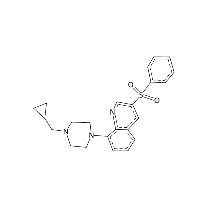 O=S(=O)(c1ccccc1)c1cnc2c(N3CCN(CC4CC4)CC3)cccc2c1